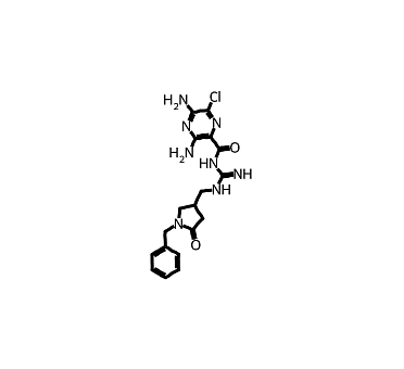 N=C(NCC1CC(=O)N(Cc2ccccc2)C1)NC(=O)c1nc(Cl)c(N)nc1N